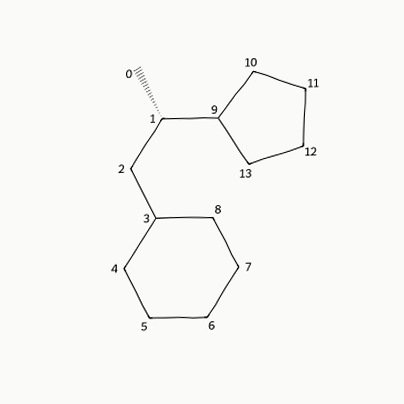 C[C@@H](CC1CCCCC1)C1CCCC1